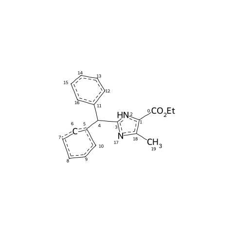 CCOC(=O)c1[nH]c(C(c2ccccc2)c2ccccc2)nc1C